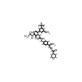 CC(C)Nc1ncc(-c2cc(N)cc(C(F)(F)F)c2)n(CC(=O)NCc2ccc(/C(N)=N/OCC(=O)N3CCOCC3)cc2)c1=O